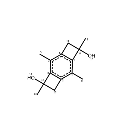 Cc1c2c(c(C)c3c1C(C)(O)C3)C(C)(O)C2